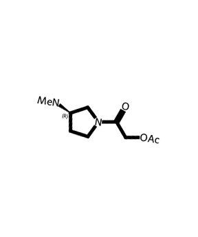 CN[C@@H]1CCN(C(=O)COC(C)=O)C1